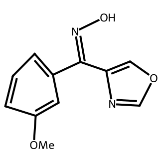 COc1cccc(C(=NO)c2cocn2)c1